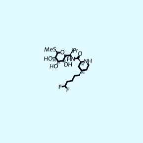 CS[C@H]1O[C@H]([C@H](NC(=O)[C@@H]2C[C@H](CCCCC(F)F)CCN2)C(C)C)[C@H](O)[C@H](O)[C@H]1O